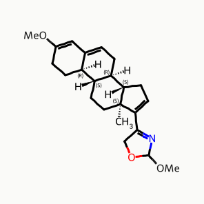 COC1=CC2=CC[C@@H]3[C@H](CC[C@]4(C)C(C5=NC(OC)OC5)=CC[C@@H]34)[C@H]2CC1